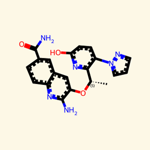 C[C@H](Oc1cc2cc(C(N)=O)ccc2nc1N)c1nc(O)ccc1-n1cccn1